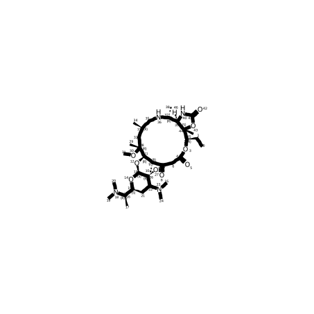 CC[C@H]1OC(=O)CC(=O)[C@H](C)[C@@H](O[C@@H]2O[C@H]([C@@H](C)N(C)C)CC(N(C)C)[C@H]2O)[C@](C)(OC)C[C@@H](C)CN[C@H](C)[C@H]2NC(=O)O[C@@]21C